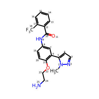 Cn1nccc1-c1cc(NC(=O)c2ccccc2C(F)(F)F)ccc1OCCN